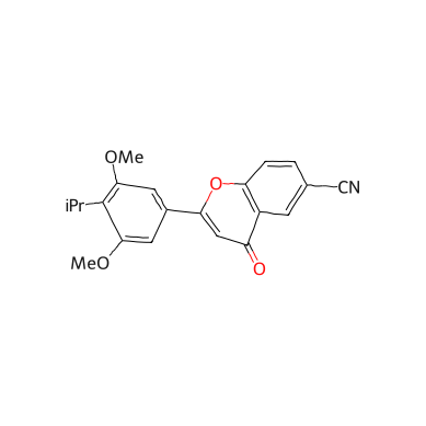 COc1cc(-c2cc(=O)c3cc(C#N)ccc3o2)cc(OC)c1C(C)C